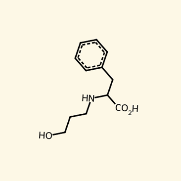 O=C(O)C(Cc1ccccc1)NCCCO